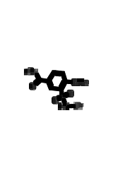 [CH2]CCCC(=O)c1ccc(OC)c(S(=O)(=O)NC(C)C)c1